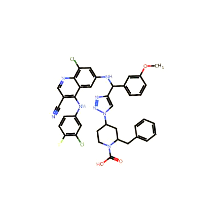 COc1cccc(C(Nc2cc(Cl)c3ncc(C#N)c(Nc4ccc(F)c(Cl)c4)c3c2)c2cn(C3CCN(C(=O)O)C(Cc4ccccc4)C3)nn2)c1